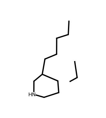 CCC.CCCCCC1CCCNC1